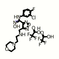 O/N=C(/Nc1ccc(F)c(Cl)c1)c1nonc1CNCCN1CCOCC1.O=C(O)C(F)(F)F.O=C(O)C(F)(F)F